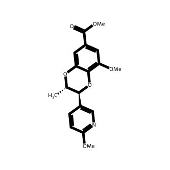 COC(=O)c1cc(OC)c2c(c1)O[C@@H](C)[C@H](c1ccc(OC)nc1)O2